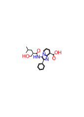 CC(C)CC(CO)C(=O)Nc1c(-c2ccccc2)nc2c(C(=O)O)cccn12